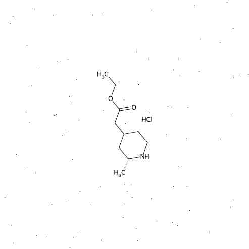 CCOC(=O)CC1CCN[C@H](C)C1.Cl